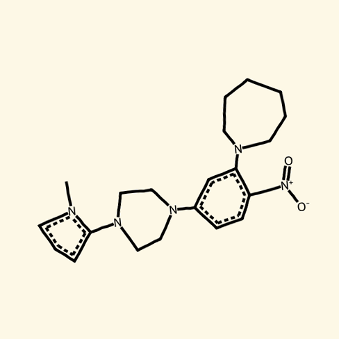 Cn1cccc1N1CCN(c2ccc([N+](=O)[O-])c(N3CCCCCC3)c2)CC1